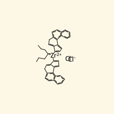 CCC[C](CCC)=[Zr+2]([C]1=CC=C2C1=CCc1ccc3ccccc3c12)[C]1=CC=C2C1=CCc1ccc3ccccc3c12.[Cl-].[Cl-]